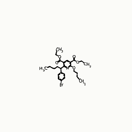 CCCCOc1nc(C(CCCC)c2ccc(Br)cc2)c(C(=O)OCC)cc1C(=O)OCC